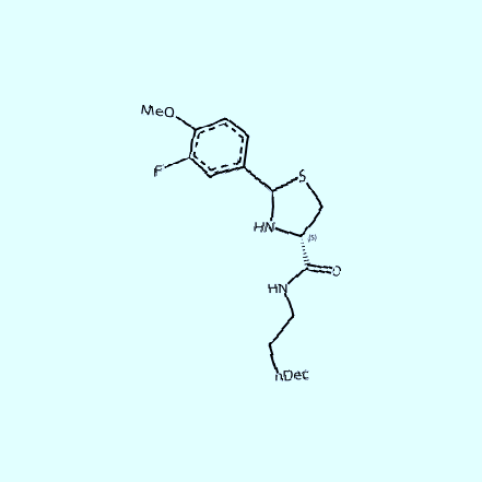 CCCCCCCCCCCCNC(=O)[C@H]1CSC(c2ccc(OC)c(F)c2)N1